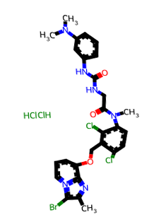 Cc1nc2c(OCc3c(Cl)ccc(N(C)C(=O)CNC(=O)Nc4cccc(N(C)C)c4)c3Cl)cccn2c1Br.Cl.Cl